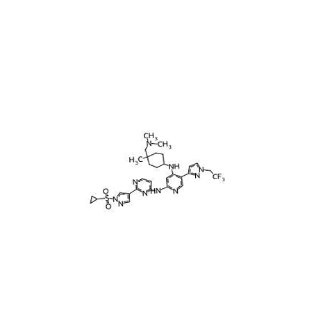 CN(C)CC1(C)CCC(Nc2cc(Nc3ccnc(-c4cnn(S(=O)(=O)C5CC5)c4)n3)ncc2-c2ccn(CC(F)(F)F)n2)CC1